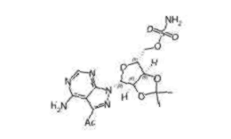 CC(=O)c1nn([C@@H]2O[C@H](COS(N)(=O)=O)[C@H]3OC(C)(C)O[C@H]32)c2ncnc(N)c12